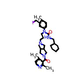 Cc1ccc(N(CCCN2CC3CN(C(=O)c4c(C)ccnc4C)CC3C2)C(=O)NCC2CCCCC2)cc1CI